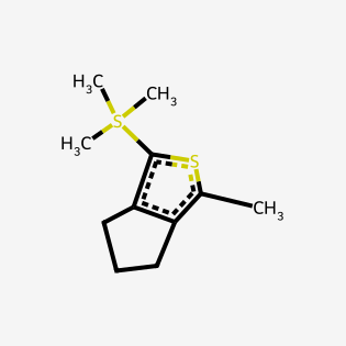 Cc1sc(S(C)(C)C)c2c1CCC2